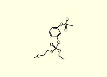 CCCCSP(=O)(OCC)Oc1cccc(OS(C)(=O)=O)c1